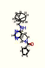 O=C(c1ccccc1)N1CCc2c(ncnc2NCC23CC4CC(CC(C4)C2)C3)C1